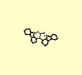 FC(F)C(c1cccc2c1[nH]c1ccccc12)c1cccc2c1[nH]c1ccccc12